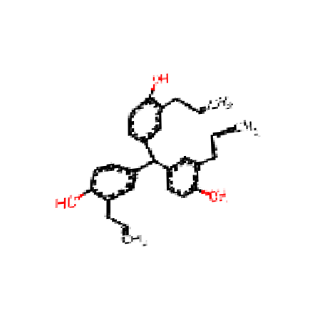 C=CCc1cc(C(c2ccc(O)c(CC=C)c2)c2ccc(O)c(CC=C)c2)ccc1O